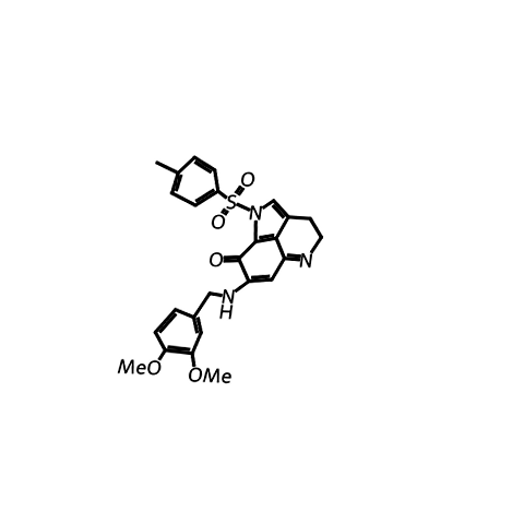 COc1ccc(CNC2=CC3=NCCc4cn(S(=O)(=O)c5ccc(C)cc5)c(c43)C2=O)cc1OC